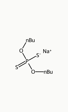 CCCCOP(=S)([S-])OCCCC.[Na+]